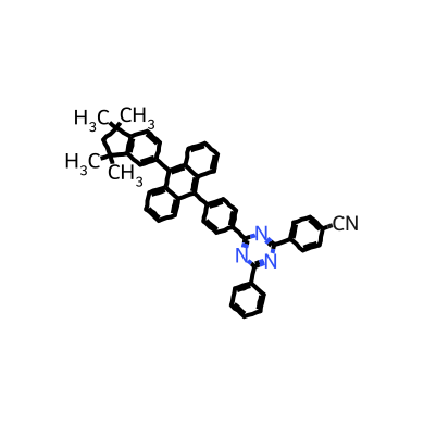 CC1(C)CC(C)(C)c2cc(-c3c4ccccc4c(-c4ccc(-c5nc(-c6ccccc6)nc(-c6ccc(C#N)cc6)n5)cc4)c4ccccc34)ccc21